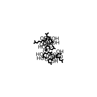 CCCC(OC1OC(CC(C)C)C(OC2OC(CC(C)C)C(OC(O)/C(O)=C(/O)C(CCC(C)C)OC(O)/C(O)=C(\O)C(O)CCC(C)C)C(O)C2O)C(O)C1O)/C(O)=C(\O)C(O)OC1C(CC(C)C)OC(C)C(O)C1O